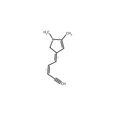 C#C/C=C\C=C1\C=C(C)N(C)C1